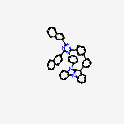 c1ccc(-n2c3ccccc3n3c4ccccc4c(-c4cccc(-c5cccc(-c6nc(-c7ccc8ccccc8c7)nc(-c7ccc8ccccc8c7)n6)c5)c4)c23)cc1